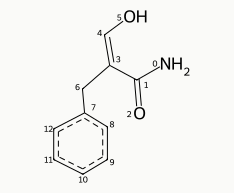 NC(=O)C(=CO)Cc1ccccc1